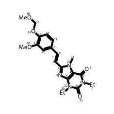 CCn1c(=O)c2c(nc(/C=C/c3ccc(OCOC)c(OC)c3)n2C)n(CC)c1=O